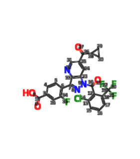 O=C(O)c1ccc(-c2nn(C(=O)c3c(Cl)cccc3C(F)(F)F)c3cc(C(=O)C4CC4)cnc23)c(F)c1